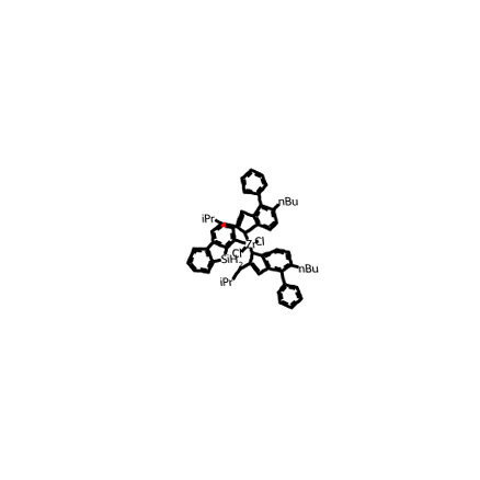 CCCCc1ccc2c(c1-c1ccccc1)C=C(CC(C)C)[CH]2[Zr]([Cl])([Cl])([c]1cccc2c1[SiH2]c1ccccc1-2)[CH]1C(CC(C)C)=Cc2c1ccc(CCCC)c2-c1ccccc1